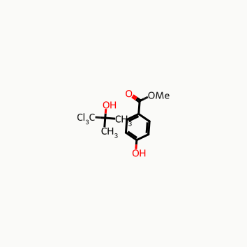 CC(C)(O)C(Cl)(Cl)Cl.COC(=O)c1ccc(O)cc1